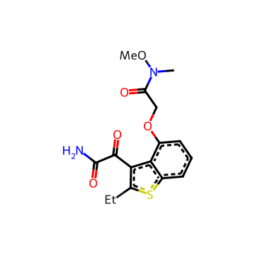 CCc1sc2cccc(OCC(=O)N(C)OC)c2c1C(=O)C(N)=O